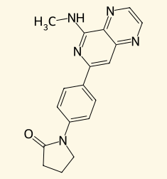 CNc1nc(-c2ccc(N3CCCC3=O)cc2)cc2nccnc12